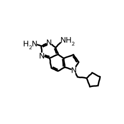 Nc1nc(N)c2c(ccc3c2ccn3CC2CCCC2)n1